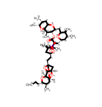 C=C1C[C@H](CC[C@@]23C[C@H]4O[C@H]5C(O2)[C@@H](C)[C@H](CCC=O)O[C@H]5C4O3)OC1CC[C@H]1C[C@@H](C)C(=C)C(C[C@@H]2OC3C[C@@H](C)[C@@H](CCC)O[C@H]3[C@H](C)[C@H]2OC(=O)CP(C)(=O)OC)O1